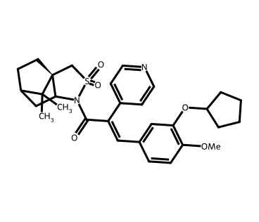 COc1ccc(/C=C(/C(=O)N2C3CC4CC[C@]3(CS2(=O)=O)C4(C)C)c2ccncc2)cc1OC1CCCC1